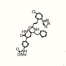 COC(=O)Nc1ccc(-c2cc(C(Cc3ccccc3)NC(=O)/C=C/c3cc(Cl)ccc3-n3cnnn3)n[nH]c2=O)cc1